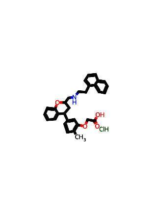 Cc1ccc(C2CC(CNCCc3cccc4ccccc34)Oc3ccccc32)cc1OCC(=O)O.Cl